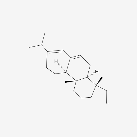 [CH2]C[C@]1(C)CCC[C@]2(C)[C@H]3CCC(C(C)C)=CC3=CC[C@@H]12